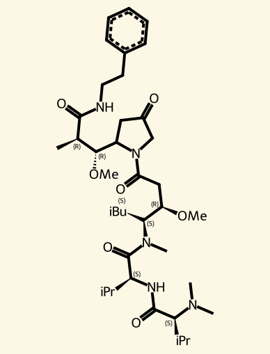 CC[C@H](C)[C@@H]([C@@H](CC(=O)N1CC(=O)CC1[C@H](OC)[C@@H](C)C(=O)NCCc1ccccc1)OC)N(C)C(=O)[C@@H](NC(=O)[C@H](C(C)C)N(C)C)C(C)C